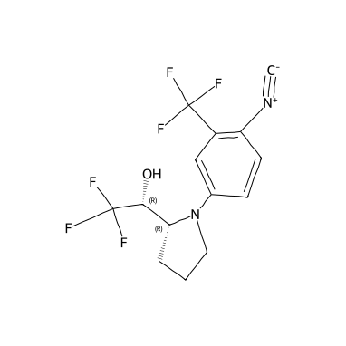 [C-]#[N+]c1ccc(N2CCC[C@@H]2[C@@H](O)C(F)(F)F)cc1C(F)(F)F